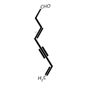 C=CC#C/C=C/CC=O